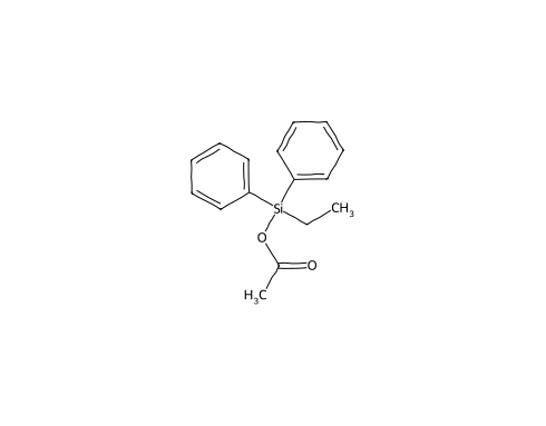 CC[Si](OC(C)=O)(c1ccccc1)c1ccccc1